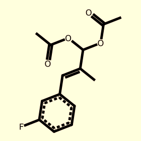 CC(=O)OC(OC(C)=O)/C(C)=C/c1cccc(F)c1